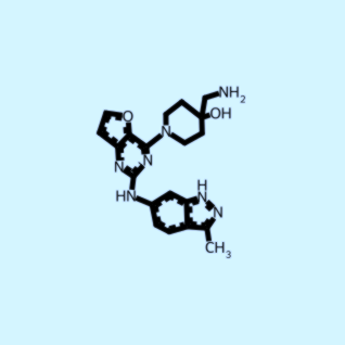 Cc1n[nH]c2cc(Nc3nc(N4CCC(O)(CN)CC4)c4occc4n3)ccc12